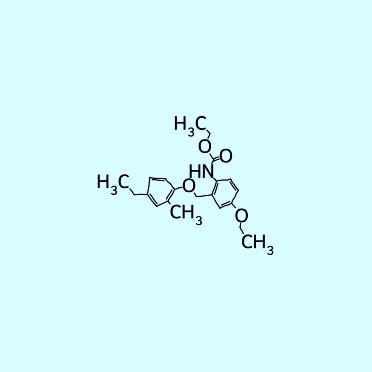 CCOC(=O)Nc1ccc(OCC)cc1COc1ccc(CC)cc1C